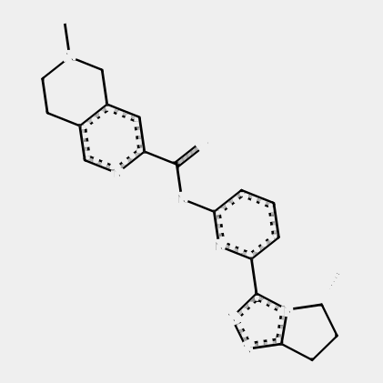 C[C@@H]1CCc2nnc(-c3cccc(NC(=O)c4cc5c(cn4)CCN(C)C5)n3)n21